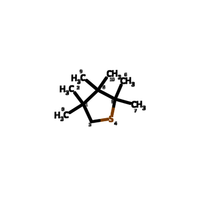 CC1(C)CSC(C)(C)C1(C)C